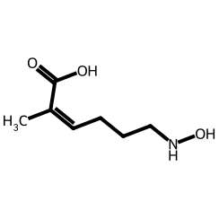 CC(=CCCCNO)C(=O)O